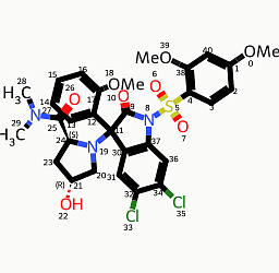 COc1ccc(S(=O)(=O)N2C(=O)C(c3ccccc3OC)(N3C[C@H](O)C[C@H]3C(=O)N(C)C)c3cc(Cl)c(Cl)cc32)c(OC)c1